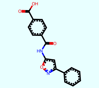 O=C(O)c1ccc(C(=O)Nc2cc(-c3ccccc3)no2)cc1